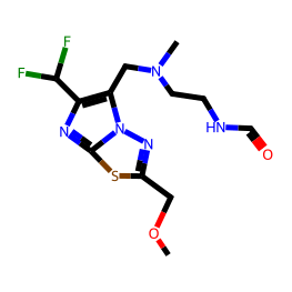 COCc1nn2c(CN(C)CCNC=O)c(C(F)F)nc2s1